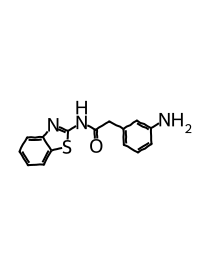 Nc1cccc(CC(=O)Nc2nc3ccccc3s2)c1